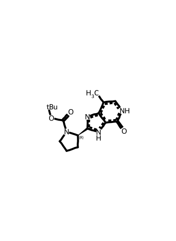 Cc1c[nH]c(=O)c2[nH]c([C@H]3CCCN3C(=O)OC(C)(C)C)nc12